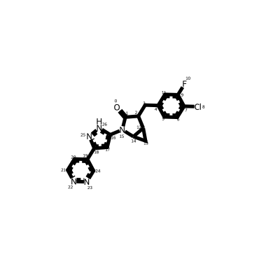 O=C1C(Cc2ccc(Cl)c(F)c2)C2CC2N1c1cc(-c2ccnnc2)n[nH]1